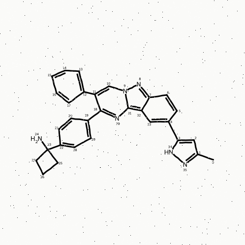 Cc1cc(-c2ccc3nn4cc(-c5ccccc5)c(-c5ccc(C6(N)CCC6)cc5)nc4c3c2)[nH]n1